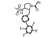 CC(C)C(=O)N1CCC(NS(C)(=O)=O)C1Cc1cccc(-c2c(F)c(F)cc(F)c2F)c1